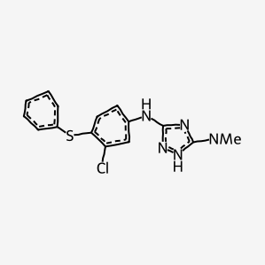 CNc1nc(Nc2ccc(Sc3ccccc3)c(Cl)c2)n[nH]1